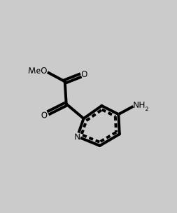 COC(=O)C(=O)c1cc(N)ccn1